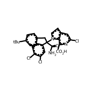 CC(C)(C)c1ccc(CC(C(N)=O)(c2ccc(Cl)c(Cl)c2)n2ccc3cc(Cl)nc(C(=O)O)c32)cc1